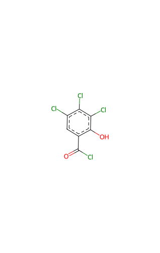 O=C(Cl)c1cc(Cl)c(Cl)c(Cl)c1O